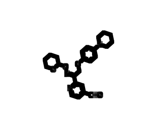 O=Cc1ccnc(/C(COc2ccc(N3CCCCC3)cc2)=N/OC2CCCCO2)c1